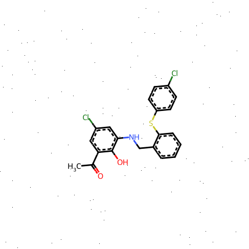 CC(=O)c1cc(Cl)cc(NCc2ccccc2Sc2ccc(Cl)cc2)c1O